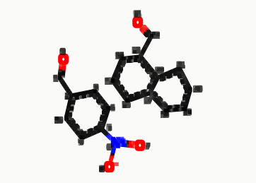 O=Cc1ccc([N+](=O)[O-])cc1.O=Cc1cccc2ccccc12